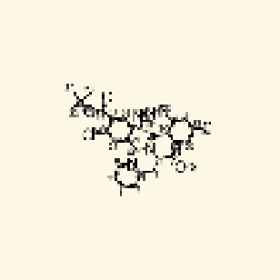 COC(=O)[C@@H](Cc1ccccn1)N(Cc1ccc(C(=O)OC(C)(C)C)c(Cl)c1)C(=O)c1ccc(Cl)cc1N=[N+]=[N-]